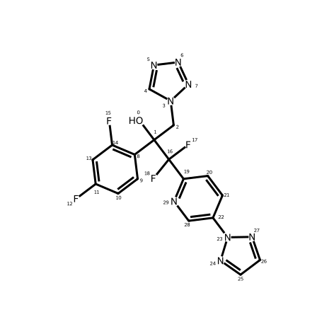 OC(Cn1cnnn1)(c1ccc(F)cc1F)C(F)(F)c1ccc(-n2nccn2)cn1